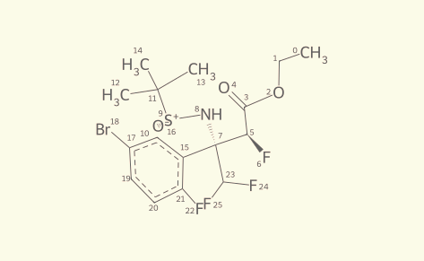 CCOC(=O)[C@@H](F)[C@](N[S@+]([O-])C(C)(C)C)(c1cc(Br)ccc1F)C(F)F